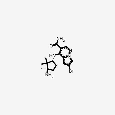 CC1(C)[C@H](Nc2c(C(N)=O)cnn3cc(Br)cc23)CC[C@@]1(C)N